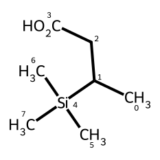 CC(CC(=O)O)[Si](C)(C)C